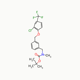 CN(Cc1cccc(COc2ccc(C(F)(F)F)cc2Cl)c1)C(=O)OC(C)(C)C